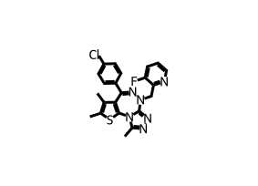 Cc1sc2c(c1C)C(c1ccc(Cl)cc1)=NN(Cc1ncccc1F)c1nnc(C)n1-2